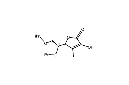 CC1=C(O)C(=O)OC1[C@H](COC(C)C)OC(C)C